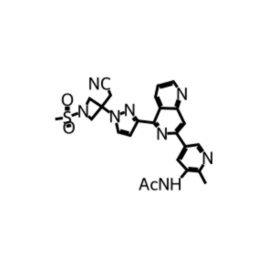 CC(=O)Nc1cc(-c2cc3ncccc3c(-c3ccn(C4(CC#N)CN(S(C)(=O)=O)C4)n3)n2)cnc1C